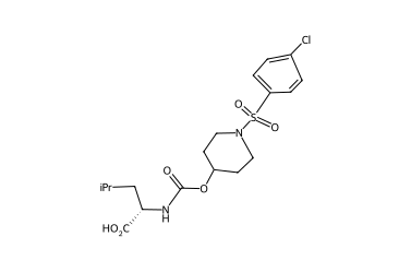 CC(C)C[C@H](NC(=O)OC1CCN(S(=O)(=O)c2ccc(Cl)cc2)CC1)C(=O)O